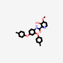 COc1ccnc(C(=O)Nc2ccc(Oc3ccc(C)cc3)cc2Oc2ccc(C)cc2)c1O